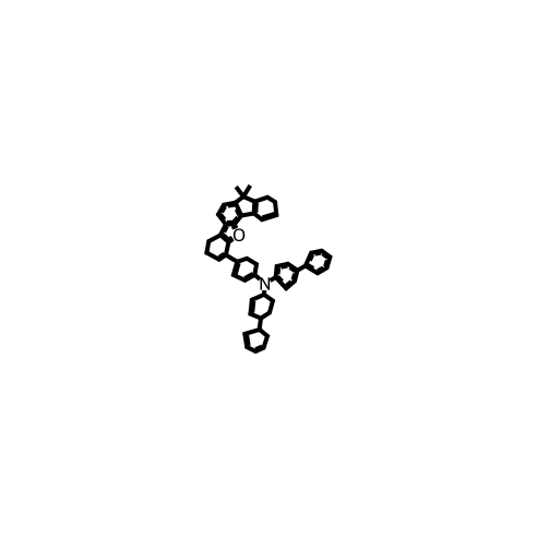 CC1(C)C2=C(C=CCC2)c2c1ccc1c3c(oc21)C(C1=CC=C(N(c2ccc(-c4ccccc4)cc2)C2C=CC(C4C=CC=CC4)CC2)CC1)=CCC3